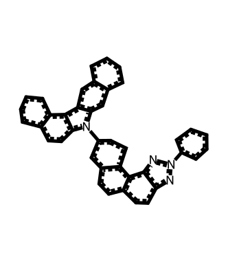 c1ccc(-n2nc3ccc4ccc5cc(-n6c7cc8ccccc8cc7c7c8ccccc8ccc76)ccc5c4c3n2)cc1